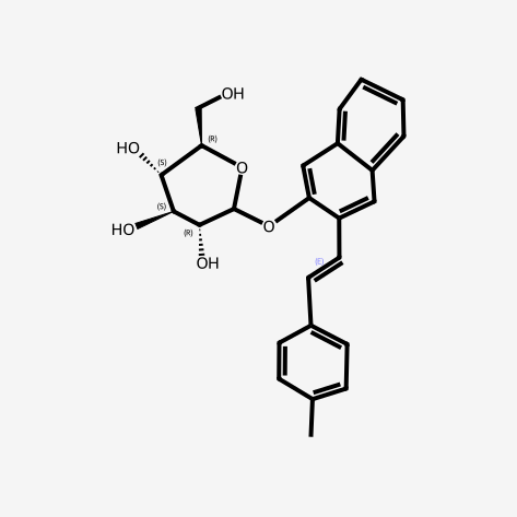 Cc1ccc(/C=C/c2cc3ccccc3cc2OC2O[C@H](CO)[C@@H](O)[C@H](O)[C@H]2O)cc1